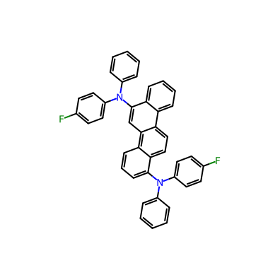 Fc1ccc(N(c2ccccc2)c2cc3c4cccc(N(c5ccccc5)c5ccc(F)cc5)c4ccc3c3ccccc23)cc1